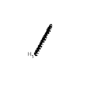 C=C=C=C=C=C=C=C=C=C=C=C=C=C=C=C=C=C=C=C=C=C=C=S